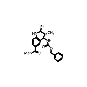 CCC1Nc2ccc(C(=O)NC)cc2C(NC(=O)OCc2ccccc2)[C@H]1C